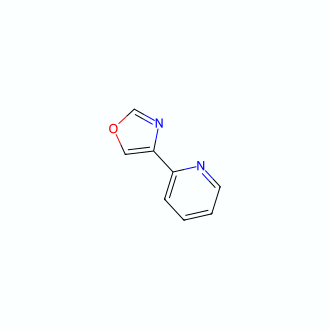 c1ccc(-c2cocn2)nc1